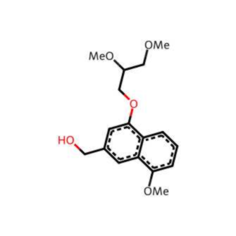 COCC(COc1cc(CO)cc2c(OC)cccc12)OC